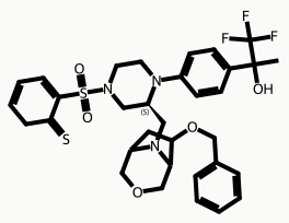 CC(O)(c1ccc(N2CCN(S(=O)(=O)C3=CC=CCC3=S)C[C@@H]2CN2C3COCC2C(OCc2ccccc2)C3)cc1)C(F)(F)F